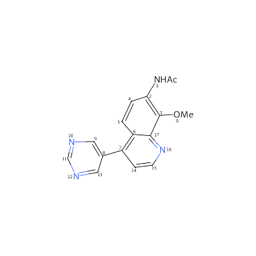 COc1c(NC(C)=O)ccc2c(-c3cncnc3)ccnc12